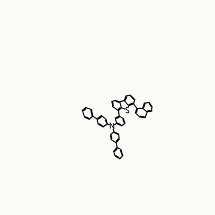 c1ccc(-c2ccc(N(c3ccc(-c4ccccc4)cc3)c3cccc(-c4cccc5c4sc4c(-c6cccc7ccccc67)cccc45)c3)cc2)cc1